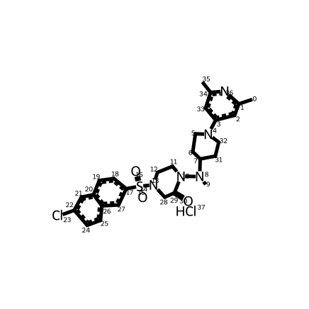 Cc1cc(N2CCC(N(C)N3CCN(S(=O)(=O)c4ccc5cc(Cl)ccc5c4)CC3=O)CC2)cc(C)n1.Cl